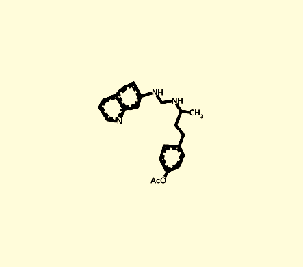 CC(=O)Oc1ccc(CCC(C)NCNc2ccc3cccnc3c2)cc1